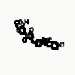 O=C(O)CN1CCC(N2C(=O)SC(=Cc3ccc4c(cnn4Cc4ccc(Cl)cc4C(F)(F)F)c3)C2=O)CC1